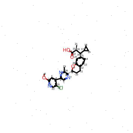 COc1cc(-c2cnc([C@H]3CCc4ccc([C@H](C5CC5)[C@H](C)C(=O)O)cc4O3)c(C)n2)c(Cl)cn1